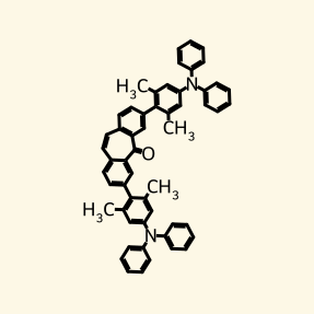 Cc1cc(N(c2ccccc2)c2ccccc2)cc(C)c1-c1ccc2ccc3ccc(-c4c(C)cc(N(c5ccccc5)c5ccccc5)cc4C)cc3c(=O)c2c1